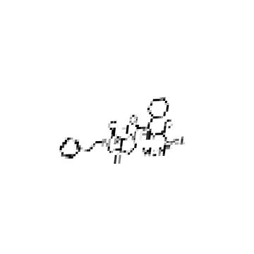 CC[C@H](NC)C(=O)N[C@@H](C(=O)N1CC[C@H]2CN(CCc3ccccc3)C(=O)[C@H]21)C1CCCCC1